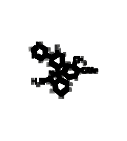 COc1ccc(C2(c3ccc(F)c(-c4cncnc4)c3)N=C(N)c3ccccc32)cc1C